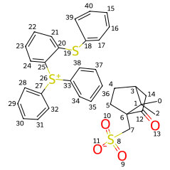 CC1(C)C2CCC1(CS(=O)(=O)[O-])C(=O)C2.c1ccc(Sc2ccccc2[S+](c2ccccc2)c2ccccc2)cc1